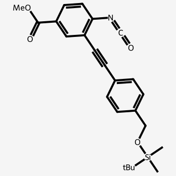 COC(=O)c1ccc(N=C=O)c(C#Cc2ccc(CO[Si](C)(C)C(C)(C)C)cc2)c1